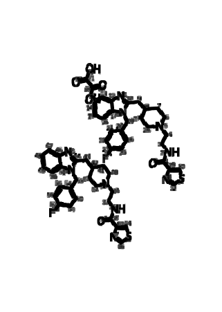 O=C(NCCN1CCC(Cc2nc3ccccc3n2Cc2ccc(F)cc2)CC1)c1cscn1.O=C(NCCN1CCC(Cc2nc3ccccc3n2Cc2ccc(F)cc2)CC1)c1cscn1.O=C(O)C(=O)O